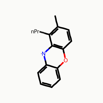 CCCc1c(C)ccc2c1[N]c1ccccc1O2